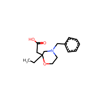 CCC1(CC(=O)O)CN(Cc2ccccc2)CCO1